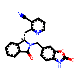 N#Cc1cccnc1C[C@H]1c2ccccc2C(=O)N1Cc1ccc2[nH]c(=O)oc2c1